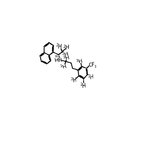 [2H]c1c([2H])c(CCC([2H])([2H])N[C@@H](c2cccc3ccccc23)C([2H])([2H])[2H])c([2H])c(C(F)(F)F)c1[2H]